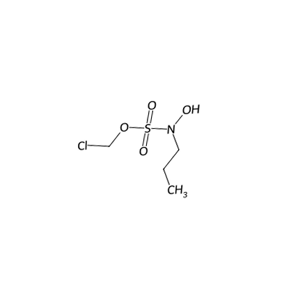 CCCN(O)S(=O)(=O)OCCl